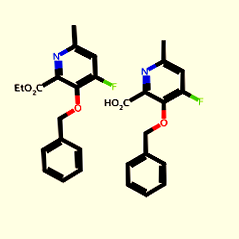 CCOC(=O)c1nc(C)cc(F)c1OCc1ccccc1.Cc1cc(F)c(OCc2ccccc2)c(C(=O)O)n1